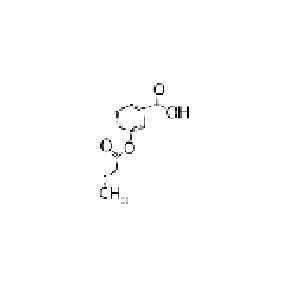 CCCC(=O)Oc1cccc(C(=O)O)c1